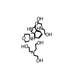 C1COCCN1.O=c1[nH]sc2ccccc12.OCCN(CCO)CCO.OCCNCCO